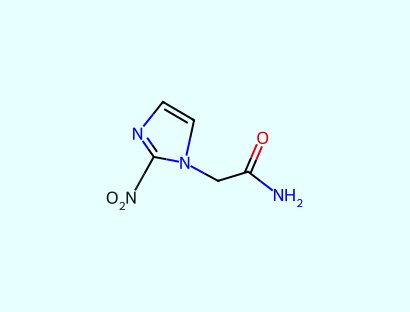 NC(=O)Cn1ccnc1[N+](=O)[O-]